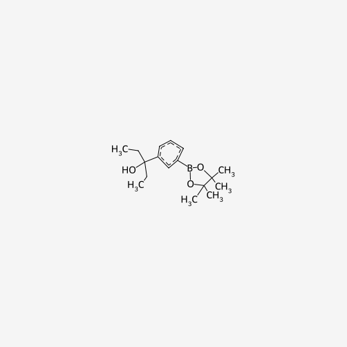 CCC(O)(CC)c1cccc(B2OC(C)(C)C(C)(C)O2)c1